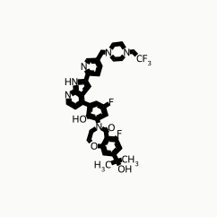 CC(C)(O)c1cc(F)c2c(c1)OCCN(c1cc(F)cc(-c3ccnc4[nH]c(-c5ccc(CN6CCN(CC(F)(F)F)CC6)cn5)cc34)c1O)C2=O